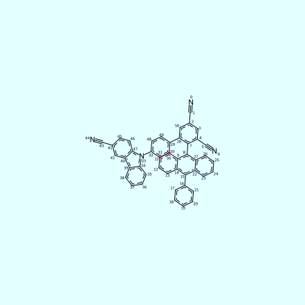 N#Cc1cc(C#N)c(-c2c3ccccc3c(-c3ccccc3)c3ccccc23)c(-c2ccc(-n3c4ccccc4c4cc(C#N)ccc43)cc2)c1